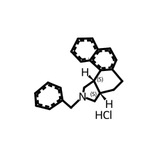 Cl.c1ccc(CN2C[C@H]3CCc4ccc5ccccc5c4[C@H]3C2)cc1